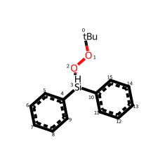 CC(C)(C)OO[SiH](c1ccccc1)c1ccccc1